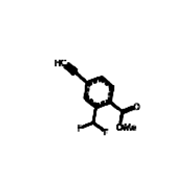 C#Cc1ccc(C(=O)OC)c(C(F)F)c1